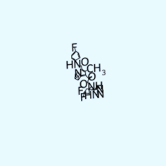 Cc1c(C(=O)C(=O)NC2(c3cnn[nH]3)CC(F)(F)C2)c2n(c1C(=O)Nc1ccc(F)cc1)C1C3C2C31